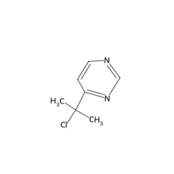 CC(C)(Cl)c1ccncn1